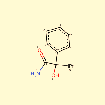 CC(C)C(O)(C(N)=O)c1ccccc1